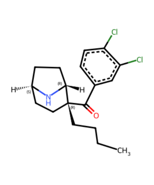 CCCC[C@@]1(C(=O)c2ccc(Cl)c(Cl)c2)CC[C@H]2CC[C@H]1N2